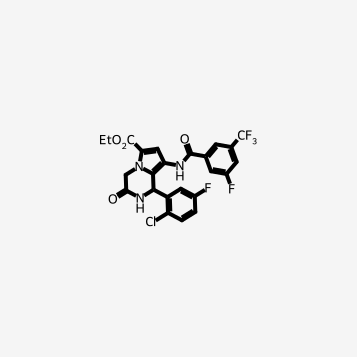 CCOC(=O)c1cc(NC(=O)c2cc(F)cc(C(F)(F)F)c2)c2n1CC(=O)NC2c1cc(F)ccc1Cl